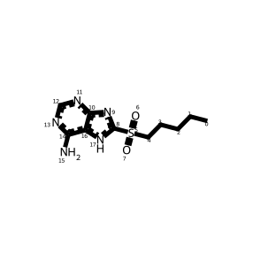 CCCCCS(=O)(=O)c1nc2ncnc(N)c2[nH]1